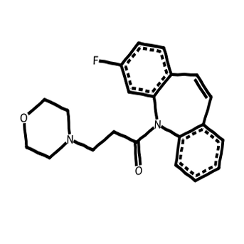 O=C(CCN1CCOCC1)N1c2ccccc2C=Cc2ccc(F)cc21